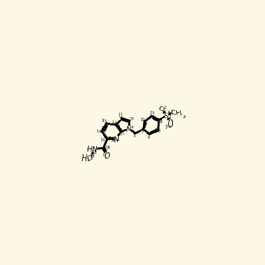 CS(=O)(=O)c1ccc(Cn2ccc3ccc(C(=O)NO)nc32)cc1